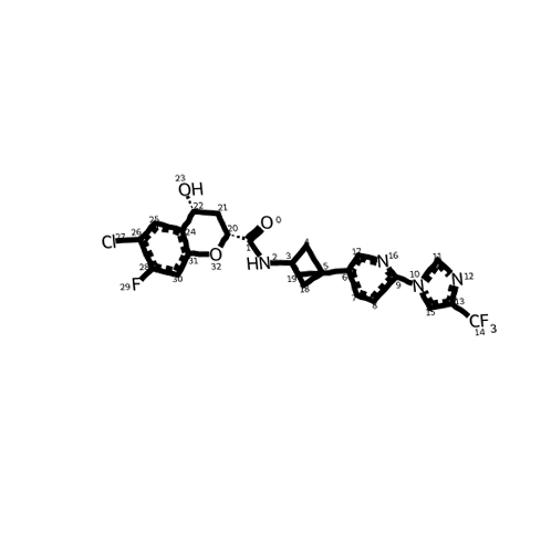 O=C(NC12CC(c3ccc(-n4cnc(C(F)(F)F)c4)nc3)(C1)C2)[C@H]1C[C@@H](O)c2cc(Cl)c(F)cc2O1